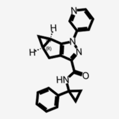 O=C(NC1(c2ccccc2)CC1)c1nn(-c2cccnc2)c2c1C[C@H]1C[C@@H]21